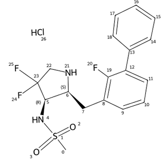 CS(=O)(=O)N[C@@H]1[C@H](Cc2cccc(-c3ccccc3)c2F)NCC1(F)F.Cl